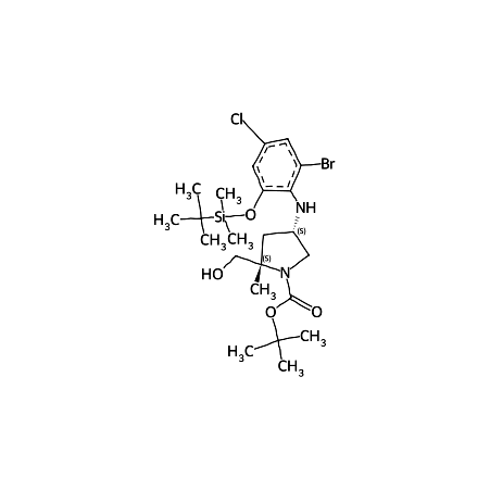 CC(C)(C)OC(=O)N1C[C@@H](Nc2c(Br)cc(Cl)cc2O[Si](C)(C)C(C)(C)C)C[C@@]1(C)CO